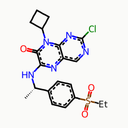 CCS(=O)(=O)c1ccc([C@H](C)Nc2nc3cnc(Cl)nc3n(C3CCC3)c2=O)cc1